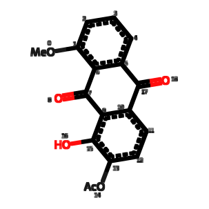 COc1cccc2c1C(=O)c1c(ccc(OC(C)=O)c1O)C2=O